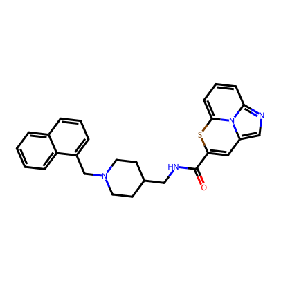 O=C(NCC1CCN(Cc2cccc3ccccc23)CC1)C1=Cc2cnc3cccc(n23)S1